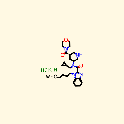 COCCCCn1c(C(=O)N(CC2CC2)[C@@H]2CNC[C@H](C(=O)N3CCOCC3)C2)nc2ccccc21.Cl.Cl